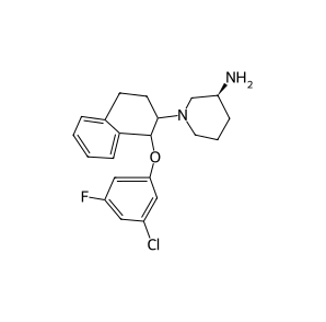 N[C@H]1CCCN(C2CCc3ccccc3C2Oc2cc(F)cc(Cl)c2)C1